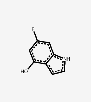 Oc1cc(F)cc2[nH]ccc12